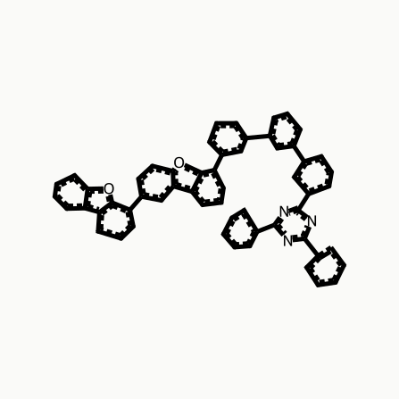 c1ccc(-c2nc(-c3ccccc3)nc(-c3cccc(-c4cccc(-c5cccc(-c6cccc7c6oc6ccc(-c8cccc9c8oc8ccccc89)cc67)c5)c4)c3)n2)cc1